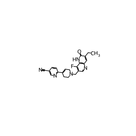 CCc1cc2ncc(CN3CC=C(c4ccc(C#N)cn4)CC3)c(F)c2[nH]c1=O